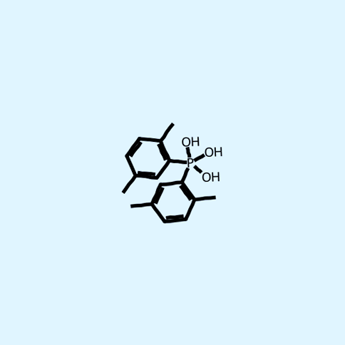 Cc1ccc(C)c(P(O)(O)(O)c2cc(C)ccc2C)c1